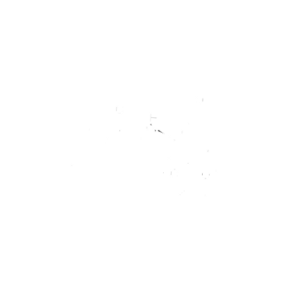 O=C[C@@H]1CCC2(C[C@H]1NCC(=O)c1ccccc1)OCCO2